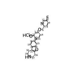 Cl.O=c1cc(OCc2ccc(F)cn2)ccn1-c1ccc2c3c(oc2c1)CCNCC3